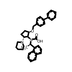 C[C@H](c1cccc2ccccc12)N(C(=O)O)C1[C@H](N2CCCCC2)CC[C@H]1OCc1ccc(-c2ccccc2)cc1